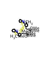 CO[Si](CCCc1ccc(C)c(-c2nc3ccccc3s2)c1SSSSSc1c(CCC[Si](OC)(OC)OC)ccc(C)c1-c1nc2ccccc2s1)(OC)OC